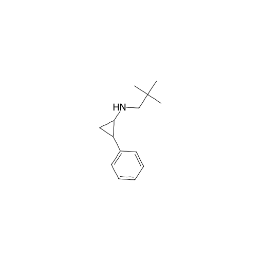 CC(C)(C)CNC1CC1c1ccccc1